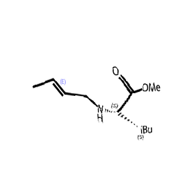 C/C=C/CN[C@H](C(=O)OC)[C@@H](C)CC